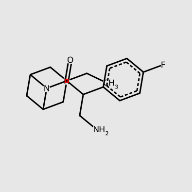 CCN1CC2CC(C1)N2C(=O)C(CN)c1ccc(F)cc1